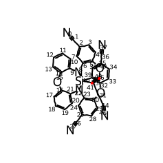 N#Cc1ccc2c(c1)N1c3ccccc3Oc3ccccc3N3c4cc(C#N)ccc4Oc4ccc(C#N)cc4[Si]13c1cc(C#N)ccc1O2